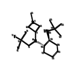 CN1CC(N(CC(F)(F)F)[C@H]2CCCC[C@@H]2NC(C)(C)C)C1